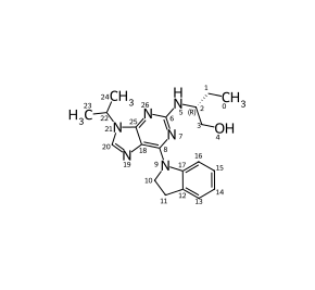 CC[C@H](CO)Nc1nc(N2CCc3ccccc32)c2ncn(C(C)C)c2n1